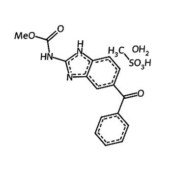 COC(=O)Nc1nc2cc(C(=O)c3ccccc3)ccc2[nH]1.CS(=O)(=O)O.O